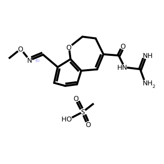 CO/N=C/c1cccc2c1OCCC(C(=O)NC(=N)N)=C2.CS(=O)(=O)O